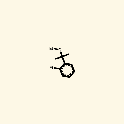 CCOC(C)(C)c1ccccc1CC